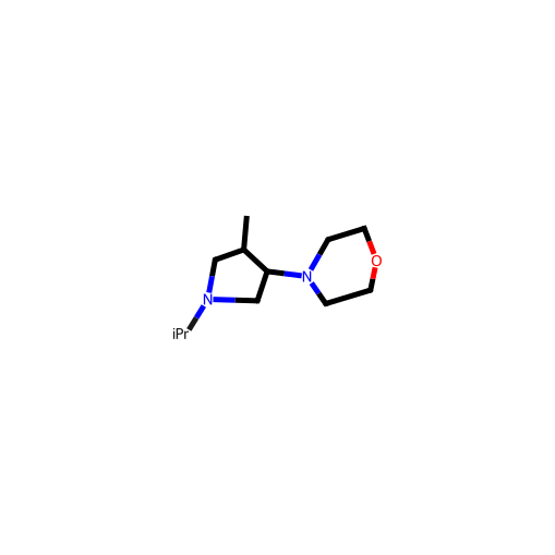 CC1CN(C(C)C)CC1N1CCOCC1